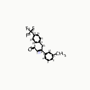 Cc1cccc(/C(=C/C=O)Cc2ccc(C(F)(F)F)cc2)c1